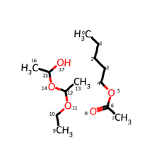 CCCCCOC(C)=O.CCOC(C)OC(C)O